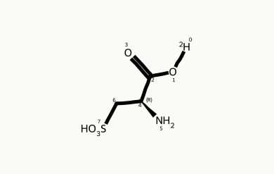 [2H]OC(=O)[C@@H](N)CS(=O)(=O)O